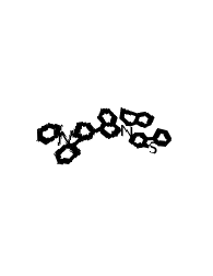 c1ccc(-n2c3ccccc3c3cc(-c4ccc(N(c5ccc6sc7ccccc7c6c5)c5cccc6ccccc56)c5ccccc45)ccc32)cc1